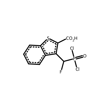 O=C(O)c1sc2ccccc2c1C(F)P(=O)(Cl)Cl